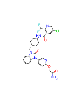 NC(=O)COc1ccc(-n2c(=O)n(C[C@H]3CC[C@H](NC(=O)c4cc(Cl)cnc4C(F)F)CC3)c3ccccc32)cn1